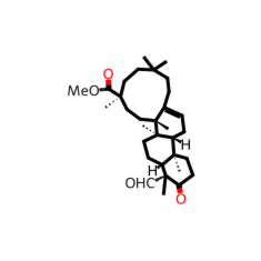 COC(=O)[C@@]1(C)CCC(C)(C)CCC2=CC[C@@H]3[C@@]4(C)CCC(=O)[C@@](C)(C=O)[C@@H]4CC[C@@]3(C)[C@]2(C)CC1